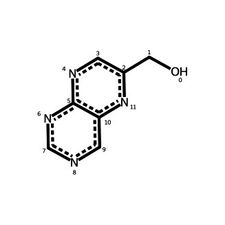 OCc1cnc2ncncc2n1